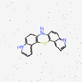 C1=CNC2=CCC3=C(Sc4c(ccc5ncccc45)N3)C2=C1